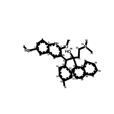 CBc1ccc2nc(OC)c(C(c3ccc(C)cc3)C(O)(CCN(C)C)c3cccc4ccccc34)cc2c1